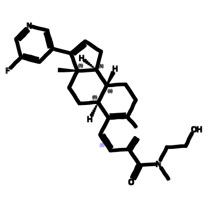 C=C(/C=C\C1=C(C)CC[C@@H]2[C@@H]1CC[C@]1(C)C(c3cncc(F)c3)=CC[C@@H]21)C(=O)N(C)CCO